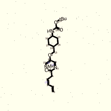 C=C/C=C\CC(Cl)/N=C\C(=C/NC)OCC1CCC(NC(=O)OC(C)(C)C)CC1